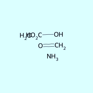 C=O.N.O.O=C(O)O